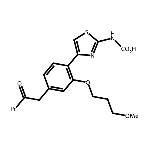 COCCCOc1cc(CC(=O)C(C)C)ccc1-c1csc(NC(=O)O)n1